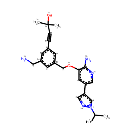 CC(C)n1cc(-c2cnc(N)c(OCc3cc(C#CC(C)(C)O)cc(CN)c3)c2)cn1